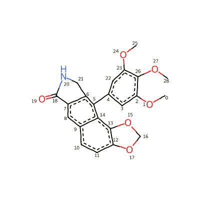 COc1cc(-c2c3c(cc4ccc5c(c24)OCO5)C(=O)NC3)cc(OC)c1OC